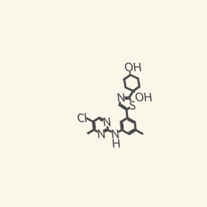 Cc1cc(Nc2ncc(Cl)c(C)n2)cc(-c2cnc([C@]3(O)CC[C@@H](O)CC3)s2)c1